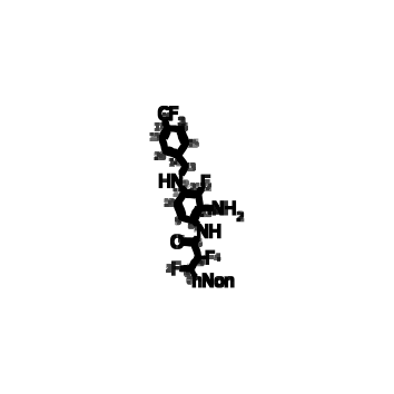 CCCCCCCCC[C@@H](F)[C@@H](F)C(=O)Nc1ccc(NCc2ccc(C(F)(F)F)cc2)c(F)c1N